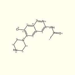 O=C(I)Nc1cc2cc(N3CCNCC3)c(Cl)cc2cn1